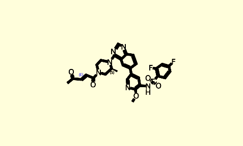 COc1ncc(-c2ccc3ncnc(N4CCN(C(=O)/C=C/C(C)=O)C[C@@H]4C)c3c2)cc1NS(=O)(=O)c1ccc(F)cc1F